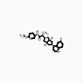 C[C@@H](C(=O)Nc1ccc(OC(F)(F)F)nc1)[C@H]1C[C@H]2C[C@@H](c3ccnc4ccc(F)cc34)C[C@H]2C1